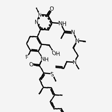 C=C/C=C\C(C)=C/C(C)/C=C(\SC)C(=O)NC1=C(F)CCC(c2cc(N/C(C)=N/N(C)CCN(C)CC=C)c(=O)n(C)n2)=C1CO